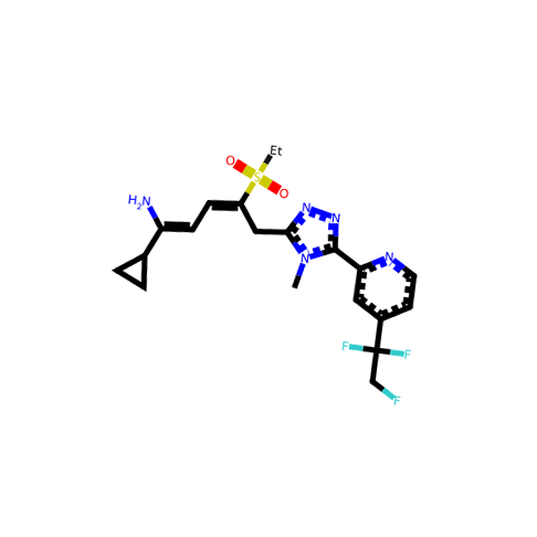 CCS(=O)(=O)/C(=C/C=C(\N)C1CC1)Cc1nnc(-c2cc(C(F)(F)CF)ccn2)n1C